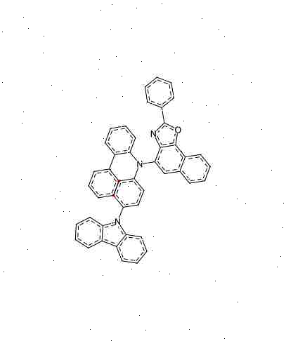 c1ccc(-c2nc3c(N(c4ccc(-n5c6ccccc6c6ccccc65)cc4)c4ccccc4-c4ccccc4)cc4ccccc4c3o2)cc1